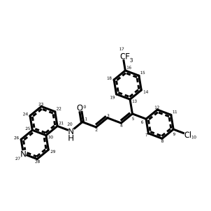 O=C(C=CC=C(c1ccc(Cl)cc1)c1ccc(C(F)(F)F)cc1)Nc1cccc2cnccc12